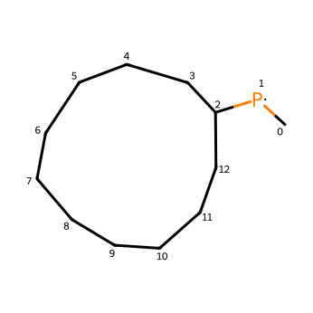 C[P]C1CCCCCCCCCC1